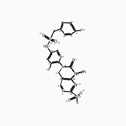 CC(C)N1C(=O)N(c2ncc(NS(=O)(=O)Cc3ccc(F)cc3)cc2F)Cc2cnc(S(C)(=O)=O)nc21